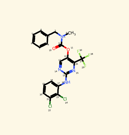 CN(Cc1ccccc1)C(=O)Oc1cnc(Nc2cccc(Cl)c2Cl)nc1C(F)(F)F